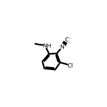 [C-]#[N+]c1c(Cl)cccc1NC